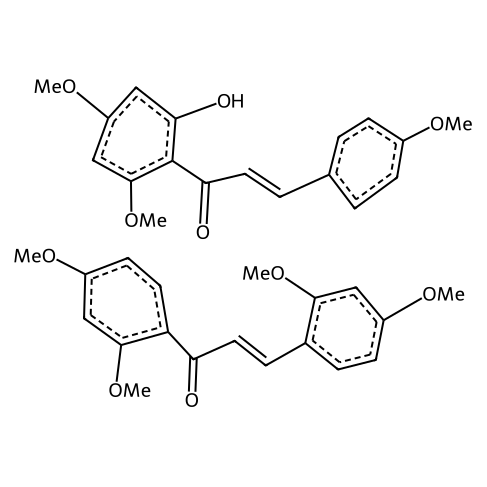 COc1ccc(C=CC(=O)c2c(O)cc(OC)cc2OC)cc1.COc1ccc(C=CC(=O)c2ccc(OC)cc2OC)c(OC)c1